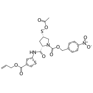 C=CCOC(=O)c1csc(NC(=O)[C@@H]2C[C@H](SOC(C)=O)CN2C(=O)OCc2ccc([N+](=O)[O-])cc2)c1